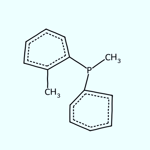 Cc1ccccc1P(C)c1ccccc1